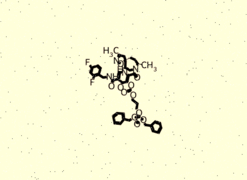 CC1=NO[C@@]2(CC[C@H](C)N3C[C@H]2n2cc(C(=O)NCc4ccc(F)cc4F)c(=O)c(OC(=O)OCCCOP(=O)(OCc4ccccc4)OCc4ccccc4)c2C3=O)C1